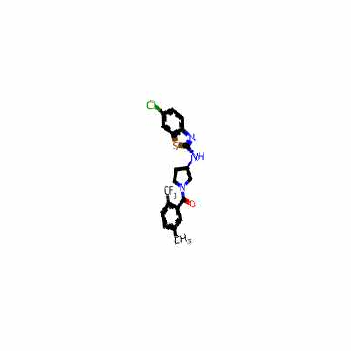 Cc1ccc(C(F)(F)F)c(C(=O)N2CC[C@@H](Nc3nc4ccc(Cl)cc4s3)C2)c1